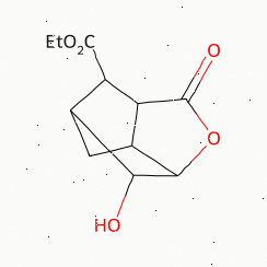 CCOC(=O)C1C2CC3C(OC(=O)C31)C2O